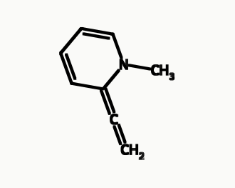 C=C=C1C=CC=CN1C